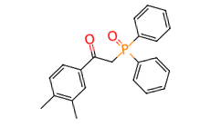 Cc1ccc(C(=O)CP(=O)(c2ccccc2)c2ccccc2)cc1C